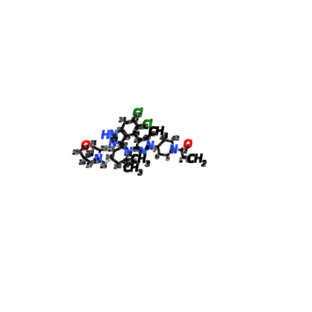 C=CC(=O)N1CCC(n2nc(N3CC[C@@H](CN4CC5COC(C5)C4)CC3(C)C)c(-c3c(Cl)c(Cl)cc4[nH]ncc34)c2C)CC1